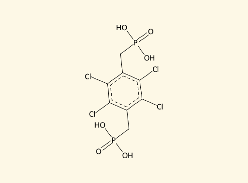 O=P(O)(O)Cc1c(Cl)c(Cl)c(CP(=O)(O)O)c(Cl)c1Cl